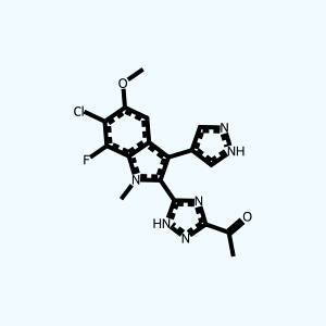 COc1cc2c(-c3cn[nH]c3)c(-c3nc(C(C)=O)n[nH]3)n(C)c2c(F)c1Cl